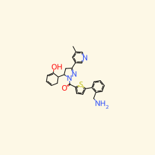 Cc1cncc(C2=NN(C(=O)c3ccc(-c4ccccc4CN)s3)C(C3CC=CC=C3O)C2)c1